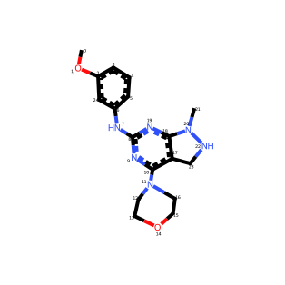 COc1cccc(Nc2nc(N3CCOCC3)c3c(n2)N(C)NC3)c1